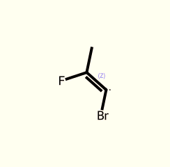 C/C(F)=[C]/Br